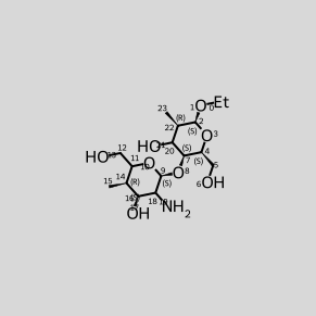 CCO[C@H]1O[C@@H](CO)[C@@H](O[C@@H]2OC(CO)[C@H](C)[C@H](O)C2N)C(O)[C@H]1C